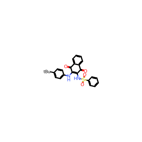 CC(C)(C)c1ccc(NC2=C(NS(=O)(=O)c3ccccc3)C(=O)c3ccccc3C2=O)cc1